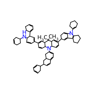 CC1(C)C2C=C(C3=CC(C4=CC=CCC4)C(NC4CC=CCC4)C=C3)C=CC2N(C2=CC=C3C=CC(C4C=CC=CC4)CC3C2)C2C=CC(C3C=c4c5c(n(C6=CCCCC6)c4=CC3)CCCC5)=CC21